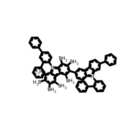 Bc1c(B)c(B)c2c(c1B)c1c(B)c(-c3ccc4c(c3)c3ccc(-c5ccccc5)cc3n4-c3ccccc3-c3ccccc3)c(B)c(B)c1n2-c1ccc(-c2ccccc2)cc1-c1ccccc1